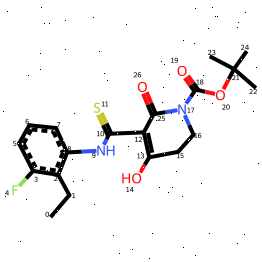 CCc1c(F)cccc1NC(=S)C1=C(O)CCN(C(=O)OC(C)(C)C)C1=O